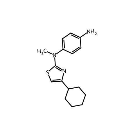 CN(c1ccc(N)cc1)c1nc(C2CCCCC2)cs1